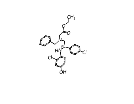 CCOC(=O)CN(Cc1ccccc1)C[C@H](Nc1ccc(O)cc1Cl)c1ccc(Cl)cc1